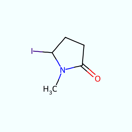 CN1C(=O)CCC1I